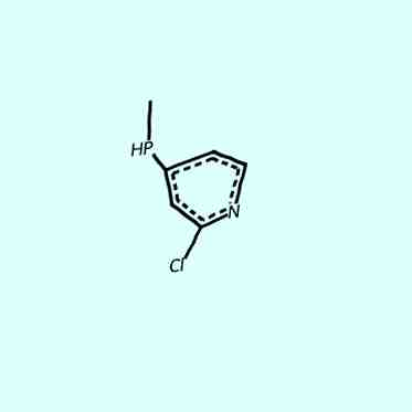 CPc1ccnc(Cl)c1